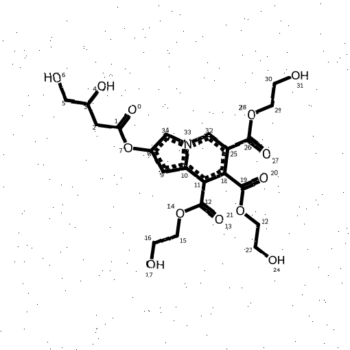 O=C(CC(O)CO)Oc1[c]c2c(C(=O)OCCO)c(C(=O)OCCO)c(C(=O)OCCO)cn2c1